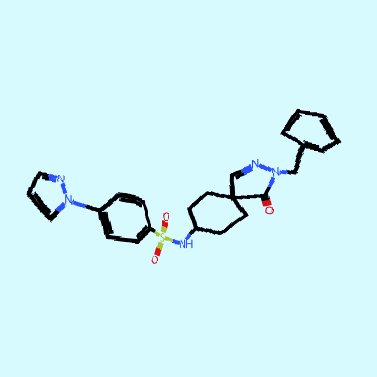 O=C1N(Cc2ccccc2)N=CC12CCC(NS(=O)(=O)c1ccc(-n3cccn3)cc1)CC2